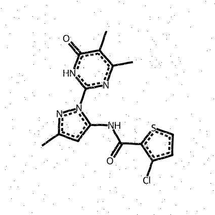 Cc1cc(NC(=O)c2sccc2Cl)n(-c2nc(C)c(C)c(=O)[nH]2)n1